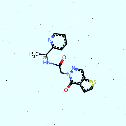 C[C@H](NC(=O)Cn1ncc2sccc2c1=O)c1ccccn1